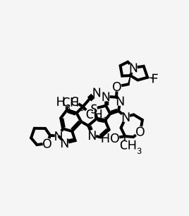 Cc1cc2c(cnn2C2CCCCO2)c(-c2nccc3c2sc2nc(OC[C@@]45CCCN4C[C@H](F)C5)nc(N4CCOC[C@@](C)(O)C4)c23)c1C(C)(C)C#N